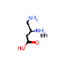 NCC(N)CC(=O)O.[KH]